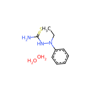 CCN(NC(N)=S)c1ccccc1.O.O